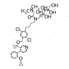 CN(C)CC(=O)N(CCCCc1cc(Cl)c(COC2(c3cnccc3-c3ccccc3OC3CC3)CC2)cc1Cl)C[C@H](O)[C@@H](O)[C@H](O)[C@H](O)CO